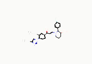 COc1cc(C(=O)/C=C/N2CCCC(O)C2c2ccc(F)cc2)ccc1-n1cnc(C)c1